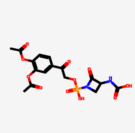 CC(=O)Oc1ccc(C(=O)COP(=O)(O)N2CC(NC(=O)O)C2=O)cc1OC(C)=O